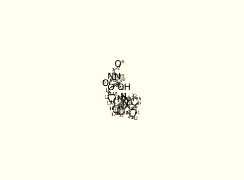 COCCc1nc(C(=O)OCc2ccc(-c3ccccc3-c3nnnn3C(c3ccccc3)(c3ccccc3)c3ccccc3)cc2)c(C(C)(C)O)n1C